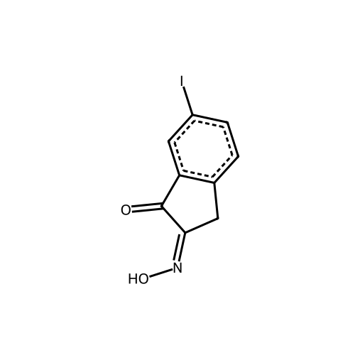 O=C1C(=NO)Cc2ccc(I)cc21